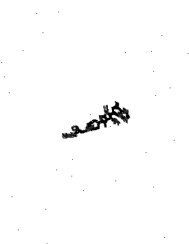 CNC(=O)CN1CCC(c2sc3[nH]c(-c4cc(C)c5ncnn5c4)c(C(C)C)c3c2C)CC1